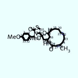 COc1ccc(CN2C(=O)SC[C@@H]2[C@@]2(OC)C[C@H]3C[C@@H](CCC/C=C/CC/C(C)=C\C(=O)N3)O2)cc1